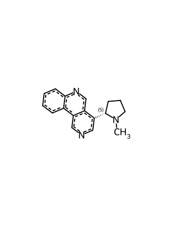 CN1CCC[C@H]1c1cncc2c1cnc1ccccc12